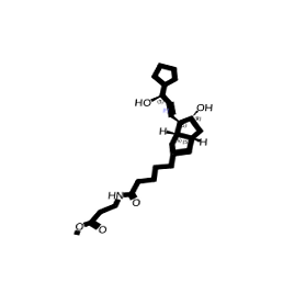 COC(=O)CCNC(=O)CCCCC1=C[C@H]2C[C@@H](O)[C@H](/C=C/[C@@H](O)C3CCCC3)[C@H]2C1